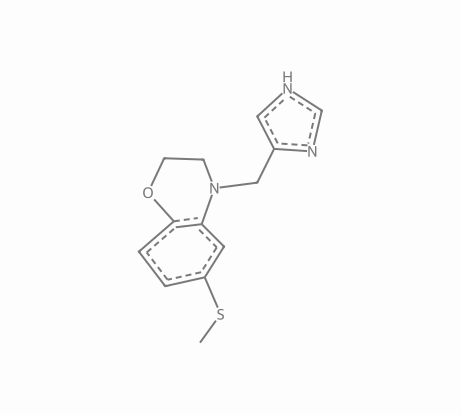 CSc1ccc2c(c1)N(Cc1c[nH]cn1)CCO2